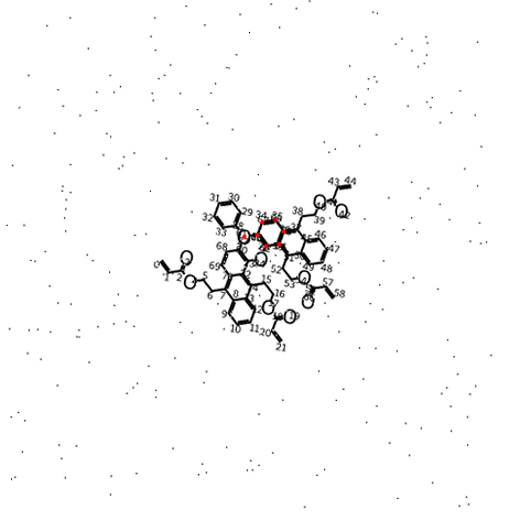 C=CC(=O)OCCc1c2ccccc2c(CCOC(=O)C=C)c2c(Oc3c(Oc4ccccc4)ccc4c(CCOC(=O)C=C)c5ccccc5c(CCOC(=O)C=C)c34)c(Oc3ccccc3)ccc12